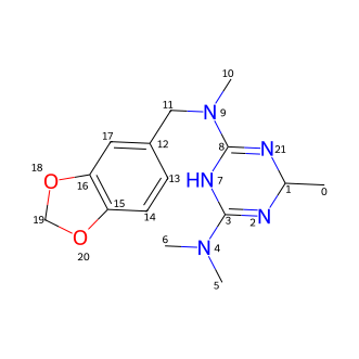 CC1N=C(N(C)C)NC(N(C)Cc2ccc3c(c2)OCO3)=N1